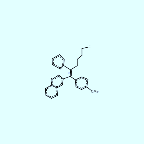 COc1ccc(/C(=C(\CCCCCl)c2ccccc2)c2cnc3ccccc3c2)cc1